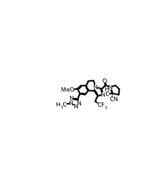 COc1cc2c(cc1-c1nnn(C)n1)-c1c(CC(F)(F)F)nc(C(=O)N3CCC[C@]3(C)C#N)n1CC2